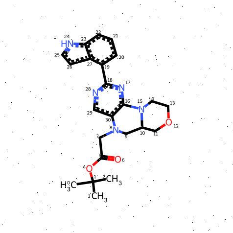 CC(C)(C)OC(=O)CN1CC2COCCN2c2nc(-c3cccc4[nH]ccc34)ncc21